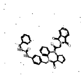 C[C@@H](NC(=O)Nc1ccc(CN2C(=O)C3CCCC3N(C(=O)CN3C(=O)c4ccccc4C3=O)c3ccccc32)cc1)c1ccccc1